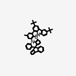 Cc1cc2c3c(c1)N1c4ccccc4C4(c5ccccc5-c5ccccc54)c4cccc(c41)B3n1c3ccc(C(C)(C)C)cc3c3cc(C(C)(C)C)cc-2c31